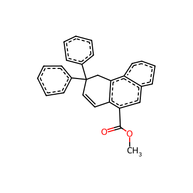 COC(=O)c1cc2ccccc2c2c1C=CC(c1ccccc1)(c1ccccc1)C2